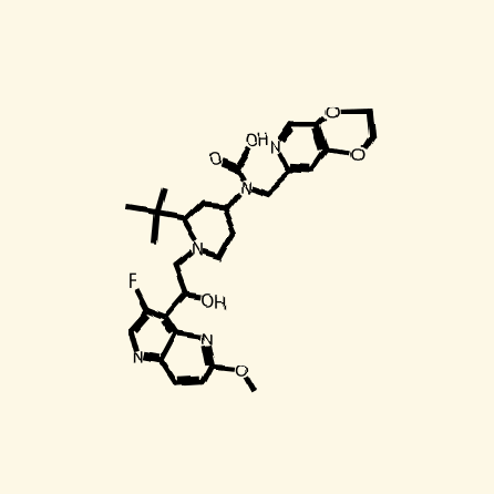 COc1ccc2ncc(F)c(C(O)CN3CCC(N(Cc4cc5c(cn4)OCCO5)C(=O)O)CC3C(C)(C)C)c2n1